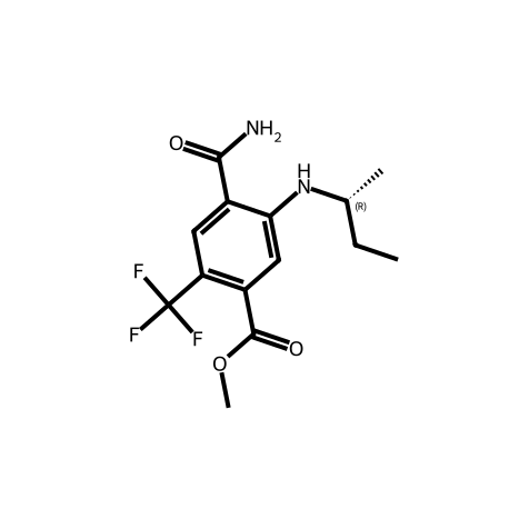 CC[C@@H](C)Nc1cc(C(=O)OC)c(C(F)(F)F)cc1C(N)=O